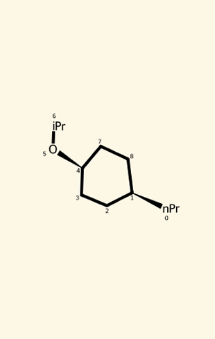 CCC[C@H]1CC[C@@H](OC(C)C)CC1